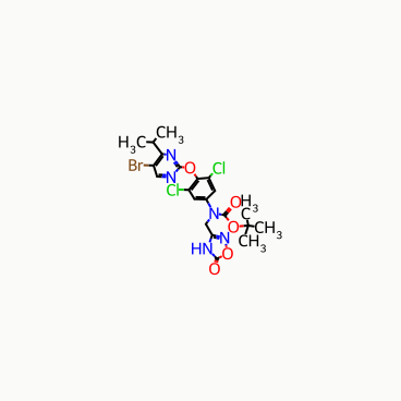 CC(C)c1nc(Oc2c(Cl)cc(N(Cc3noc(=O)[nH]3)C(=O)OC(C)(C)C)cc2Cl)ncc1Br